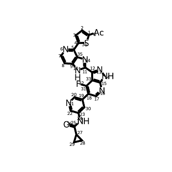 CC(=O)c1ccc(-c2nccc3[nH]c(-c4n[nH]c5ncc(-c6cncc(NC(=O)C7CC7)c6)c(F)c45)nc23)s1